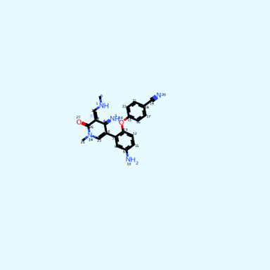 CN/C=C1\C(=N)C(c2cc(N)ccc2Oc2ccc(C#N)cc2)=CN(C)C1=O